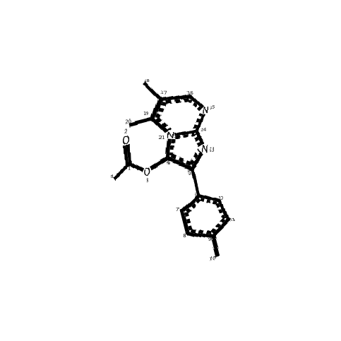 CC(=O)Oc1c(-c2ccc(C)cc2)nc2ncc(C)c(C)n12